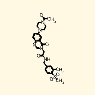 CC(=O)N1CCN(c2ccc3ncn(CC(=O)NCc4ccc(S(C)(=O)=O)c(C)c4)c(=O)c3c2)CC1